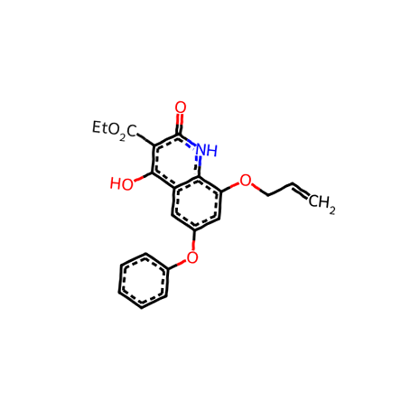 C=CCOc1cc(Oc2ccccc2)cc2c(O)c(C(=O)OCC)c(=O)[nH]c12